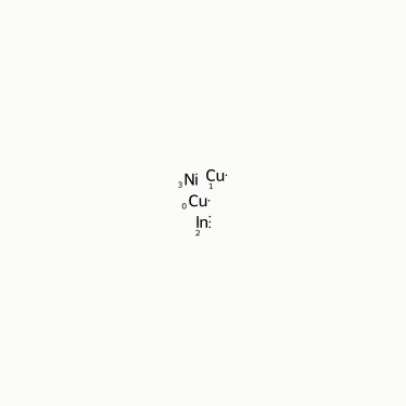 [Cu].[Cu].[In].[Ni]